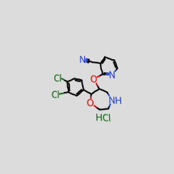 Cl.N#Cc1cccnc1OC1CNCCOC1c1ccc(Cl)c(Cl)c1